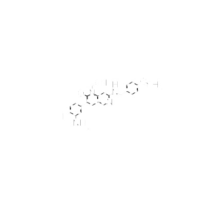 CCn1c(=O)c(-c2ccc(F)c(N)c2)cc2cnc(NCc3ccc(OC)cc3)cc21